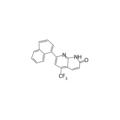 O=c1ccc2c(C(F)(F)F)cc(-c3cccc4ccccc34)nc2[nH]1